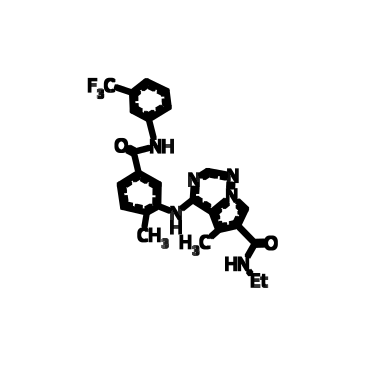 CCNC(=O)c1cn2ncnc(Nc3cc(C(=O)Nc4cccc(C(F)(F)F)c4)ccc3C)c2c1C